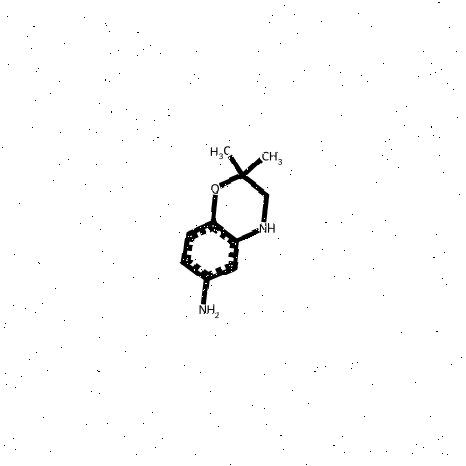 CC1(C)CNc2cc(N)ccc2O1